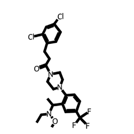 CCN(OC)C(C)c1cc(C(F)(F)F)ccc1N1CCN(C(=O)CCc2ccc(Cl)cc2Cl)CC1